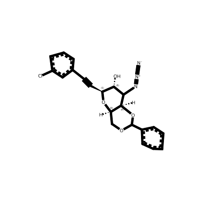 [N-]=[N+]=NC1[C@@H](O)[C@H](C#Cc2cccc(Cl)c2)O[C@@H]2COC(c3ccccc3)O[C@H]12